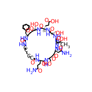 C[C@@H](O)[C@@H]1NN[C@@H](CC(N)=O)C(=O)C(=O)C(CO)NC(=O)C(CCC(N)=O)NC(=O)CCCCCNC(=O)N[C@@H](Cc2ccccc2)C(=O)C(=O)[C@H](CO)NC(=O)[C@H](CCC(=O)O)NC(=O)[C@H](CO)NC1=O